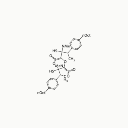 CCCCCCCCc1ccc(C(C)C(S)(NC)C(OC(=S(=O)=O)C(S)(NC)C(C)c2ccc(CCCCCCCC)cc2)=S(=O)=O)cc1